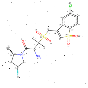 CC(C)(C(N)C(=O)N1C[C@@H](F)C[C@H]1C#N)S(=O)(=O)CC1=CS(=O)(=O)c2ccc(Cl)cc21